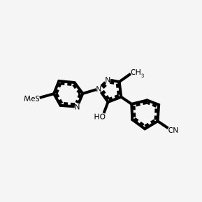 CSc1ccc(-n2nc(C)c(-c3ccc(C#N)cc3)c2O)nc1